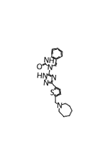 NC(=O)N(Cc1ccccc1)c1nc(-c2ccc(CN3CCCCCC3)s2)n[nH]1